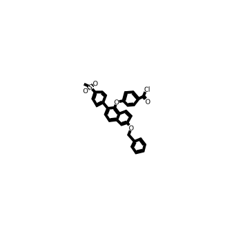 CS(=O)(=O)c1ccc(-c2ccc3cc(OCc4ccccc4)ccc3c2Oc2ccc(C(=O)Cl)cc2)cc1